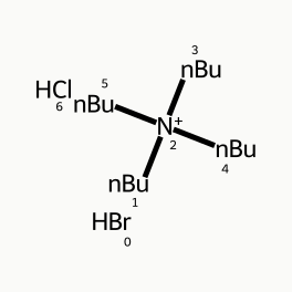 Br.CCCC[N+](CCCC)(CCCC)CCCC.Cl